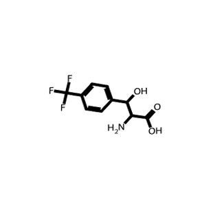 NC(C(=O)O)C(O)c1ccc(C(F)(F)F)cc1